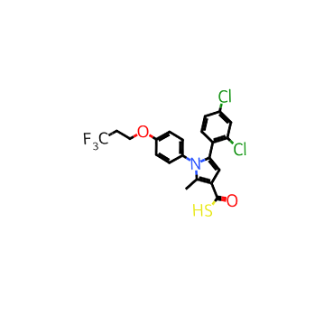 Cc1c(C(=O)S)cc(-c2ccc(Cl)cc2Cl)n1-c1ccc(OCCC(F)(F)F)cc1